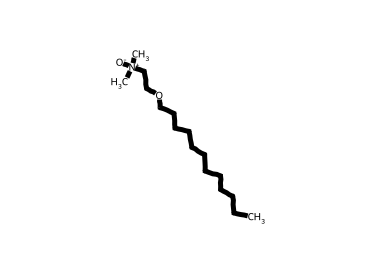 CCCCCCCCCCCCOCC[N+](C)(C)[O-]